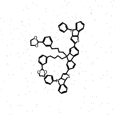 C1=C(c2ccc3c(c2)C(CCCCc2cccc(C4OCCO4)c2)(CCCCc2cccc(C4OCCO4)c2)c2cc(-c4cc5c(s4)c4ccccc4n5-c4ccccc4)ccc2-3)SC2c3ccccc3N(c3ccccc3)C12